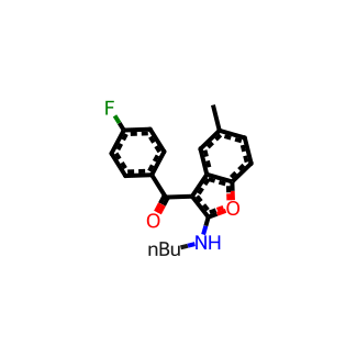 CCCCNc1oc2ccc(C)cc2c1C(=O)c1ccc(F)cc1